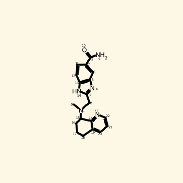 CN(Cc1nc2cc(C(N)=O)ccc2[nH]1)C1CCCc2cccnc21